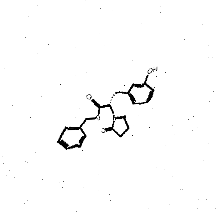 O=C(OCc1ccccc1)[C@H](Cc1cccc(O)c1)N1CCCC1=O